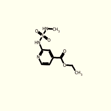 CCOC(=O)c1ccnc(NS(=O)(=O)NC)c1